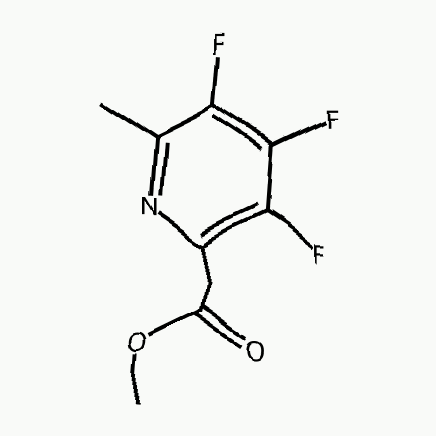 COC(=O)c1nc(C)c(F)c(F)c1F